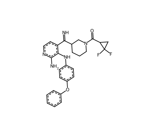 N=C(c1ccnc(N)c1Nc1ccc(Oc2ccccc2)cc1)C1CCCN(C(=O)C2CC2(F)F)C1